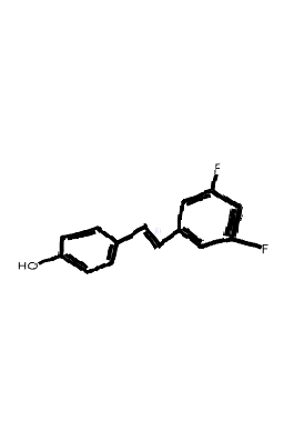 Oc1ccc(/C=C/c2cc(F)cc(F)c2)cc1